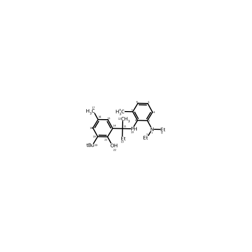 CCN(CC)c1cccc(C)c1PC(C)(CC)c1cc(C)cc(C(C)(C)C)c1O